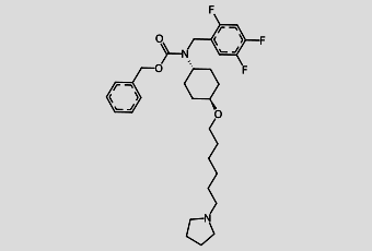 O=C(OCc1ccccc1)N(Cc1cc(F)c(F)cc1F)[C@H]1CC[C@H](OCCCCCCN2CCCC2)CC1